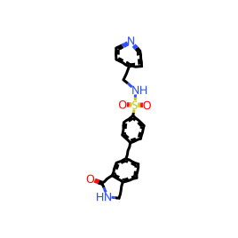 O=C1NCc2ccc(-c3ccc(S(=O)(=O)NCc4ccncc4)cc3)cc21